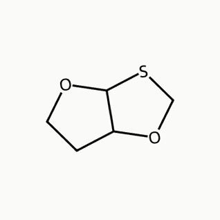 C1CC2OCSC2O1